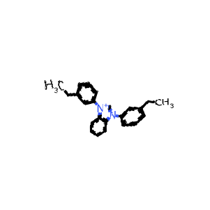 CCc1cccc(-n2c[n+](-c3cccc(CC)c3)c3ccccc32)c1